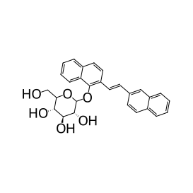 OCC1OC(Oc2c(/C=C/c3ccc4ccccc4c3)ccc3ccccc23)[C@H](O)[C@@H](O)[C@@H]1O